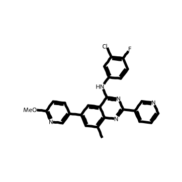 COc1ccc(-c2cc(C)c3nc(-c4cccnc4)nc(Nc4ccc(F)c(Cl)c4)c3c2)cn1